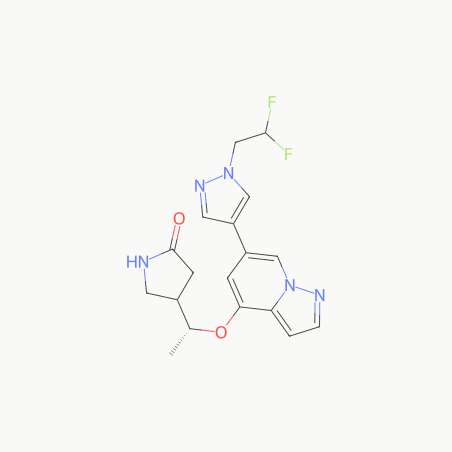 C[C@@H](Oc1cc(-c2cnn(CC(F)F)c2)cn2nccc12)C1CNC(=O)C1